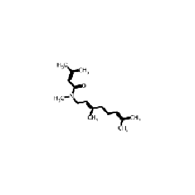 CC(C)=CCC/C(C)=C/CN(C)C(=O)C=C(C)C